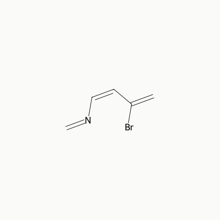 C=N/C=C\C(=C)Br